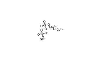 O=S(=O)([O-])[O-].O=S(=O)([O-])[O-].[Cl-].[Cl-].[Cu+2].[Mg+2].[Zn+2]